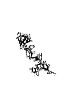 Bc1cnn2c(NCCCCNC(=O)NC3C45C[C@H]4C[C@H]4CC5C35C[C@@H]5C4)cc(C3CC=CC=C3Cl)nc12